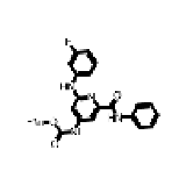 CC(C)(C)OC(=O)Nc1cc(Nc2cccc(F)c2)nc(C(=O)Nc2ccccc2)c1